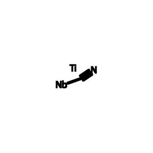 N#[C][Nb].[Ti]